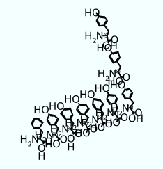 N[C@@H](Cc1ccc(O)cc1)C(=O)O.N[C@@H](Cc1ccc(O)cc1)C(=O)O.N[C@@H](Cc1ccc(O)cc1)C(=O)O.N[C@@H](Cc1ccc(O)cc1)C(=O)O.N[C@@H](Cc1ccc(O)cc1)C(=O)O.N[C@@H](Cc1ccc(O)cc1)C(=O)O.N[C@@H](Cc1ccc(O)cc1)C(=O)O.N[C@@H](Cc1ccc(O)cc1)C(=O)O.N[C@@H](Cc1ccccc1)C(=O)O